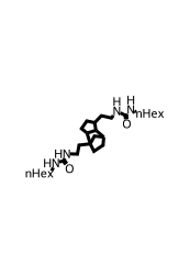 CCCCCCNC(=O)NCCC1CCC2C1C1CCC2(CCNC(=O)NCCCCCC)C1